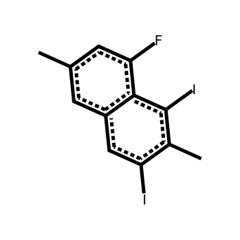 Cc1cc(F)c2c(I)c(C)c(I)cc2c1